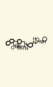 CCCc1nc2ccc(NCC(=O)NC3CCCCC3)cc2n1Cc1ccc(-c2ccc3ccccc3c2C(=O)OC(C)(C)C)cc1